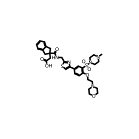 CN1CCN(S(=O)(=O)c2cc(-c3csc(CNC(=O)C4(CC(=O)O)Cc5ccccc5C4)n3)ccc2OCCN2CCOCC2)CC1